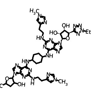 CCn1nnc([C@H]2O[C@@H](n3cnc4c(NC5CCC(Nc6nc(NCCc7cn(C)cn7)nc7c6ncn7C6OC(C)CC6O)CC5)nc(NCCc5cn(C)cn5)nc43)[C@H](O)[C@@H]2O)n1